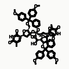 COc1ccc(C(OC[C@H]2O[C@@H](n3cc(C)c(=O)[nH]c3=O)C[C@@]2(O)OP(=O)(OC(O)[C@H]2O[C@@H](n3cc(C)c(=O)[nH]c3=O)C[C@@H]2OC(c2ccccc2)(c2ccc(OC)cc2)c2ccc(OC)cc2)SCSC(C)=O)(c2ccccc2)c2ccc(OC)cc2)cc1